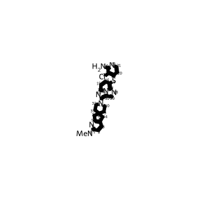 CNc1ccc2c(n1)CC1(CCN(c3nc4ccc(Sc5ccnc(N)c5Cl)c5ncc3n45)CC1)C2